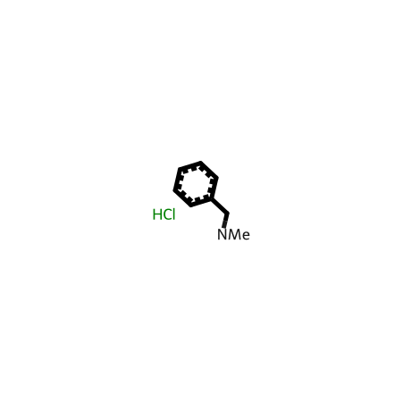 CNCc1ccccc1.Cl